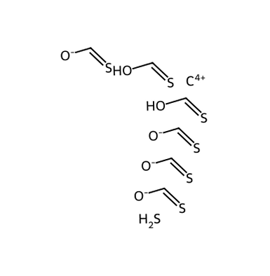 OC=S.OC=S.S.[C+4].[O-]C=S.[O-]C=S.[O-]C=S.[O-]C=S